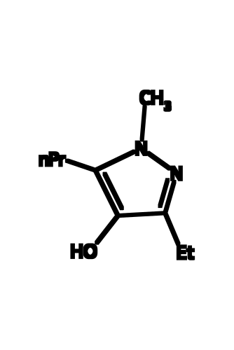 CCCc1c(O)c(CC)nn1C